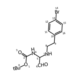 CC(C)(C)OC(=O)NC(C=O)NCCc1ccc(Br)cc1